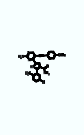 COc1ccc(C#Cc2cnc(N)nc2-c2cc(C(N)=O)c(-c3cc(Cl)ccc3C)[nH]2)cc1